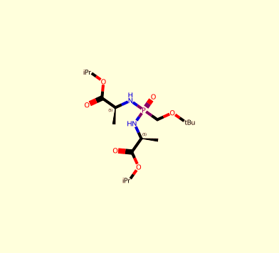 CC(C)OC(=O)[C@H](C)NP(=O)(COC(C)(C)C)N[C@@H](C)C(=O)OC(C)C